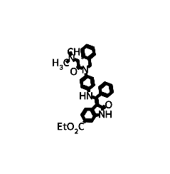 CCOC(=O)c1ccc2c(c1)NC(=O)C2=C(Nc1ccc(N(Cc2ccccc2)C(=O)CN(C)C)cc1)c1ccccc1